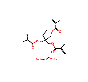 C=C(C)C(=O)OCC(CC)(COC(=O)C(=C)C)COC(=O)C(=C)C.OCCO